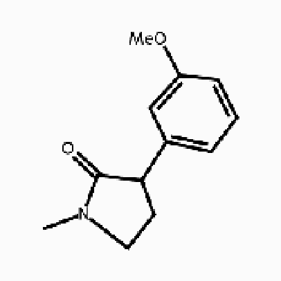 COc1cccc(C2CCN(C)C2=O)c1